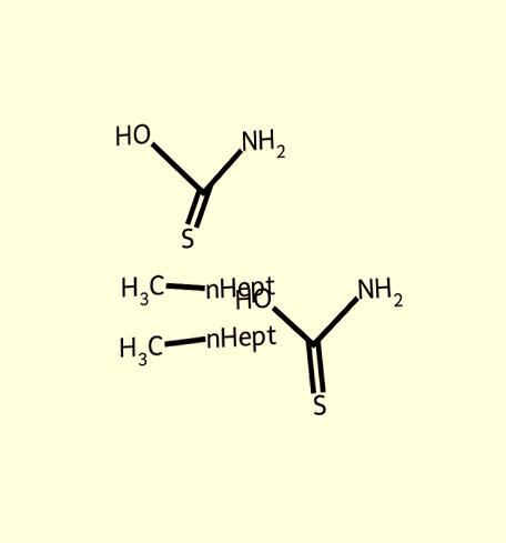 CCCCCCCC.CCCCCCCC.NC(O)=S.NC(O)=S